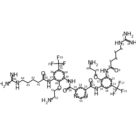 N=C(N)NCCCCC(=O)Nc1cc(C(F)(F)F)cc(NC(=O)c2cc(C(=O)Nc3cc(C(F)(F)F)cc(NC(=O)CCCCNC(=N)N)c3OCCN)ncn2)c1OCCN